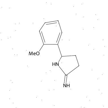 COc1ccccc1C1CCC(=N)N1